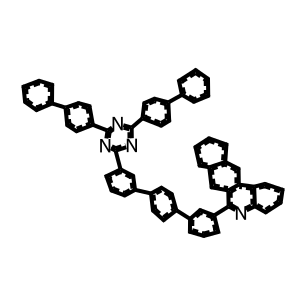 c1ccc(-c2ccc(-c3nc(-c4ccc(-c5ccccc5)cc4)nc(-c4cccc(-c5ccc(-c6cccc(-c7nc8ccccc8c8cc9ccccc9cc78)c6)cc5)c4)n3)cc2)cc1